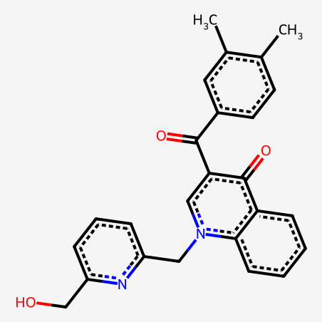 Cc1ccc(C(=O)c2cn(Cc3cccc(CO)n3)c3ccccc3c2=O)cc1C